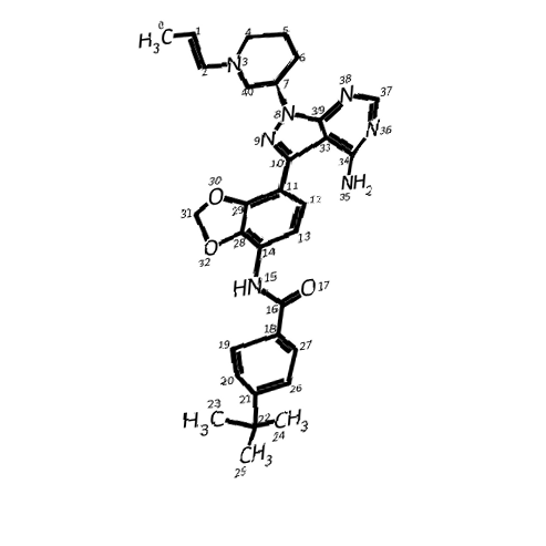 CC=CN1CCC[C@@H](n2nc(-c3ccc(NC(=O)c4ccc(C(C)(C)C)cc4)c4c3OCO4)c3c(N)ncnc32)C1